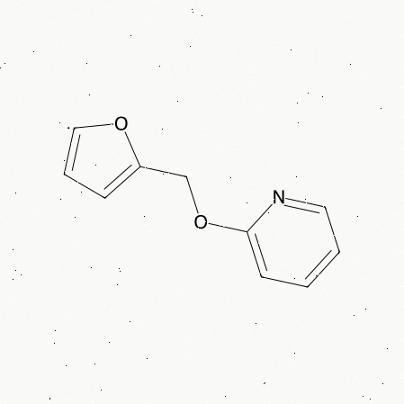 [c]1ccc(COc2ccccn2)o1